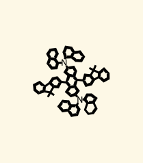 CC1(C)c2ccccc2-c2ccc(-c3c4ccc(N(c5cccc6ccccc56)c5cccc6ccccc56)cc4c(-c4ccc5c(c4)C(C)(C)c4ccccc4-5)c4ccc(N(c5cccc6c5CCC=C6)c5cccc6ccccc56)cc34)cc21